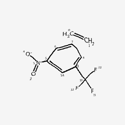 C=C.O=[N+]([O-])c1cccc(C(F)(F)F)c1